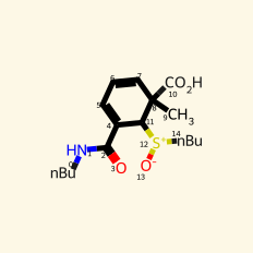 CCCCNC(=O)C1=CC=CC(C)(C(=O)O)C1[S+]([O-])CCCC